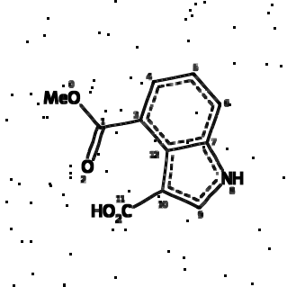 COC(=O)c1cccc2[nH]cc(C(=O)O)c12